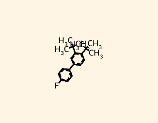 CC(C)(C)c1ccc(-c2ccc(F)cc2)cc1C(C)(C)C